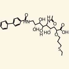 CCSCCCOC(C[C@H](O)C(NC(C)=O)C(O)[C@H](O)[C@H](O)CNC(=O)c1ccc(-c2ccccc2)cc1)C(=O)O